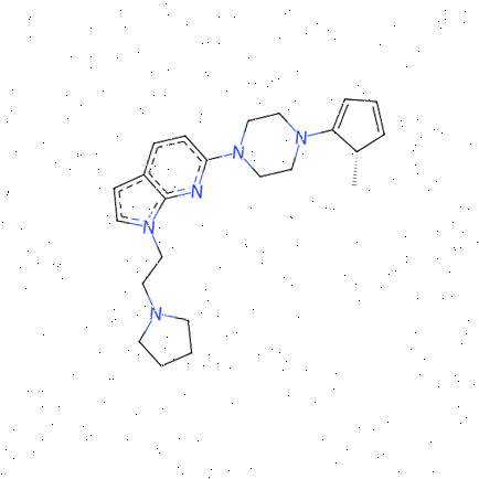 C[C@H]1C=CC=C1N1CCN(c2ccc3ccn(CCN4CCCC4)c3n2)CC1